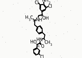 CC(Cc1ccc(C[C@@H](C)NC[C@H](O)c2cc(Cl)c(N)c(Cl)c2)cc1)NC(=O)[C@H](O)c1cccc(Cl)c1